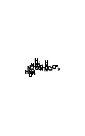 C[C@@H](NC(=O)c1ncnc2c1CN(C)C(=O)N2)c1cc(-c2nc3ccc(C(F)(F)F)cc3[nH]2)no1